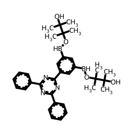 CC(C)(O)C(C)(C)OBc1cc(BOC(C)(C)C(C)(C)O)cc(-c2nc(-c3ccccc3)nc(-c3ccccc3)n2)c1